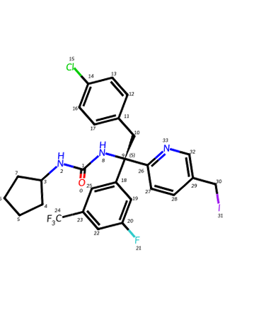 O=C(NC1CCCC1)N[C@@](Cc1ccc(Cl)cc1)(c1cc(F)cc(C(F)(F)F)c1)c1ccc(CI)cn1